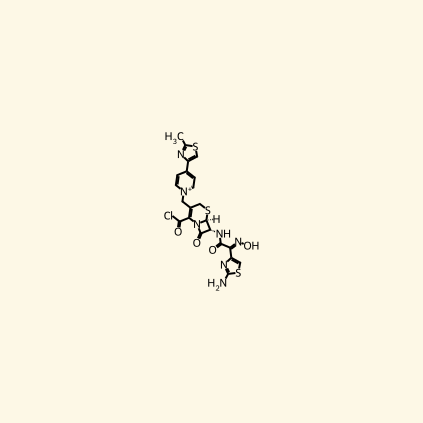 Cc1nc(-c2cc[n+](CC3=C(C(=O)Cl)N4C(=O)[C@@H](NC(=O)C(=NO)c5csc(N)n5)[C@@H]4SC3)cc2)cs1